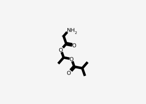 CC(OC(=O)[CH]N)OC(=O)C(C)C